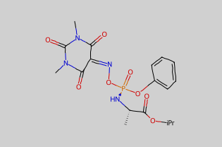 CC(C)OC(=O)[C@H](C)N[P@](=O)(ON=C1C(=O)N(C)C(=O)N(C)C1=O)Oc1ccccc1